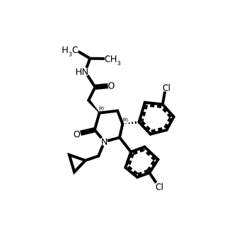 CC(C)NC(=O)C[C@H]1C[C@H](c2cccc(Cl)c2)C(c2ccc(Cl)cc2)N(CC2CC2)C1=O